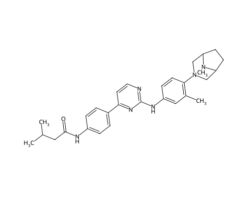 Cc1cc(Nc2nccc(-c3ccc(NC(=O)CC(C)C)cc3)n2)ccc1N1CC2CCC(C1)N2C